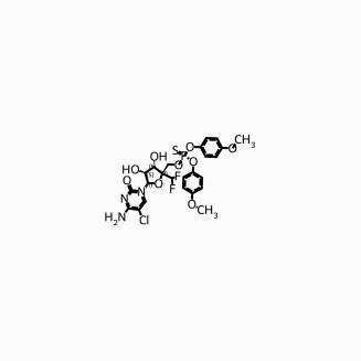 COc1ccc(OP(=S)(OC[C@@]2(C(F)F)O[C@@H](n3cc(Cl)c(N)nc3=O)[C@@H](O)[C@@H]2O)Oc2ccc(OC)cc2)cc1